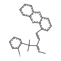 C/N=C(\C=C\c1cccc2nc3ccccc3nc12)C(C)(C)c1ccccc1I